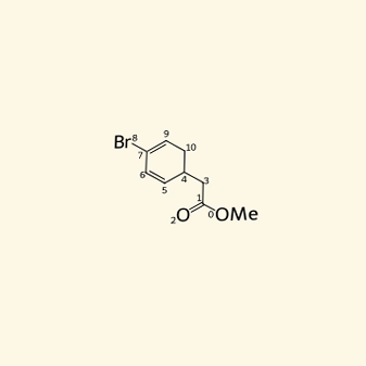 COC(=O)CC1C=CC(Br)=CC1